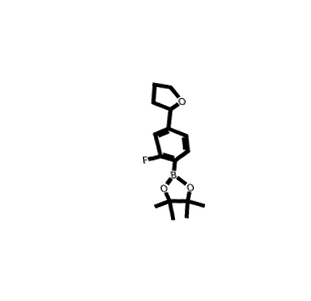 CC1(C)OB(c2ccc(C3CCCO3)cc2F)OC1(C)C